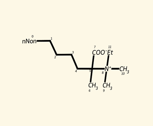 CCCCCCCCCCCCCC(C)(C(=O)[O-])[N+](C)(C)CC